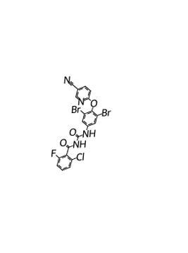 N#Cc1ccc(Oc2c(Br)cc(NC(=O)NC(=O)c3c(F)cccc3Cl)cc2Br)nc1